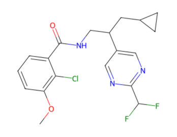 COc1cccc(C(=O)NCC(CC2CC2)c2cnc(C(F)F)nc2)c1Cl